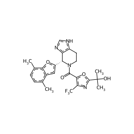 Cc1ccc(C)c2oc([C@@H]3c4nc[nH]c4CCN3C(=O)c3oc(C(C)(C)O)nc3C(F)(F)F)cc12